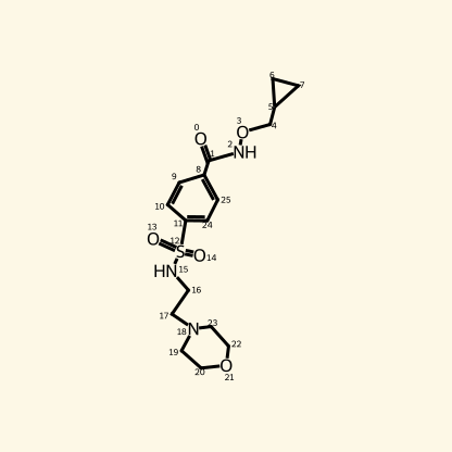 O=C(NOCC1CC1)c1ccc(S(=O)(=O)NCCN2CCOCC2)cc1